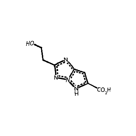 O=C(O)c1cc2nc(CCO)nn2[nH]1